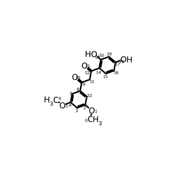 COc1cc(OC)cc(C(=O)CC(=O)c2ccc(O)cc2O)c1